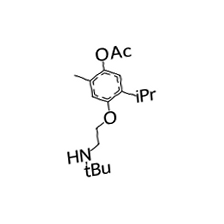 CC(=O)Oc1cc(C(C)C)c(OCCNC(C)(C)C)cc1C